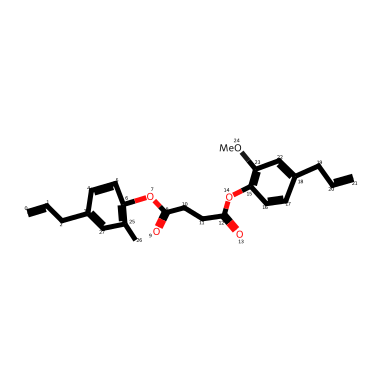 C=CCc1ccc(OC(=O)CCC(=O)Oc2ccc(CC=C)cc2OC)c(C)c1